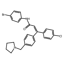 O=C(C=C(c1ccc(Cl)cc1)c1ccc(CN2CCCC2)cc1)Nc1ccc(Br)cc1